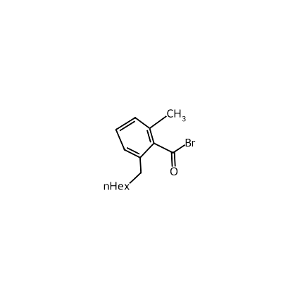 CCCCCCCc1cccc(C)c1C(=O)Br